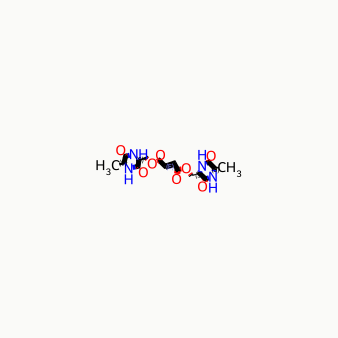 C[C@@H]1NC(=O)[C@H](COC(=O)/C=C/C(=O)OC[C@@H]2NC(=O)[C@H](C)NC2=O)NC1=O